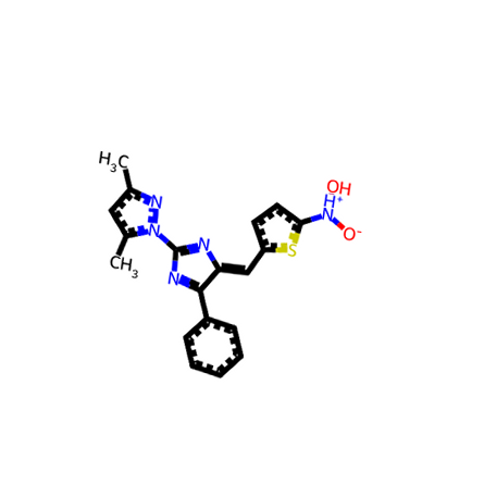 Cc1cc(C)n(C2=NC(=Cc3ccc([NH+]([O-])O)s3)C(c3ccccc3)=N2)n1